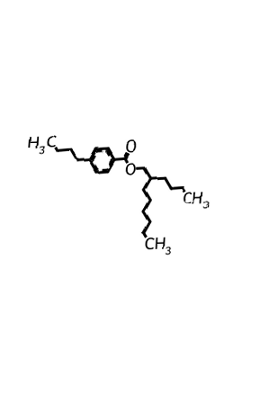 CCCCCCC(CCCC)COC(=O)c1ccc(CCCC)cc1